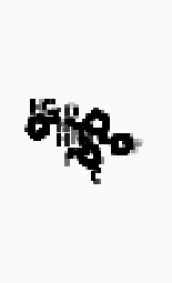 O=C(N[C@H](CO)c1ccccc1)c1nn(-c2ccc(Cl)cc2CI)c2c1CCCC/C2=C\c1ccc(F)cc1